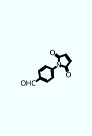 O=Cc1ccc(N2C(=O)C=CC2=O)cc1